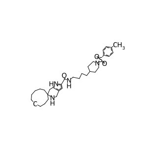 Cc1ccc(S(=O)(=O)N2CCC(CCCCNC(=O)c3cc4c([nH]3)CC3(CCCCCCCCC3)NC4)CC2)cc1